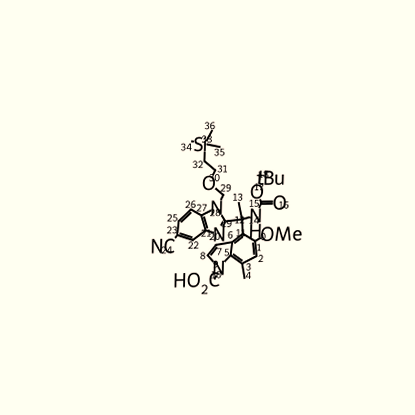 COc1cc(C)c2c(ccn2C(=O)O)c1C(C)(NC(=O)OC(C)(C)C)c1nc2cc(C#N)ccc2n1COCC[Si](C)(C)C